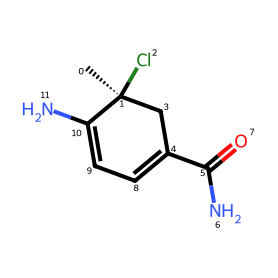 C[C@]1(Cl)CC(C(N)=O)=CC=C1N